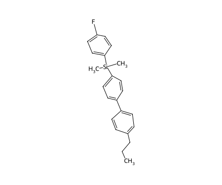 CCCc1ccc(-c2ccc([Si](C)(C)c3ccc(F)cc3)cc2)cc1